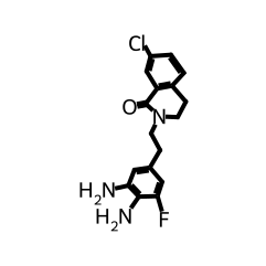 Nc1cc(CCN2CCc3ccc(Cl)cc3C2=O)cc(F)c1N